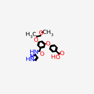 COC[C@H](C)Oc1cc(Oc2ccc(C(=O)O)cc2)cc(C(=O)Nc2cc[nH]n2)c1